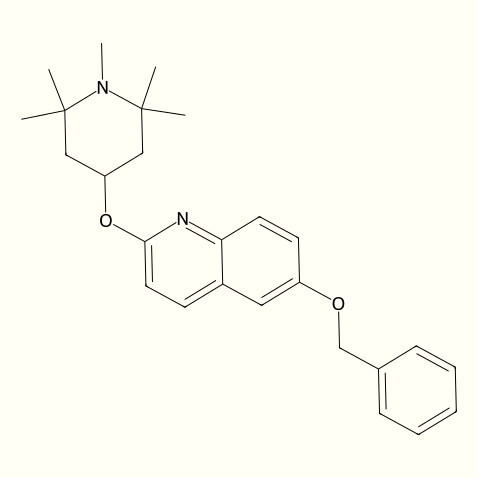 CN1C(C)(C)CC(Oc2ccc3cc(OCc4ccccc4)ccc3n2)CC1(C)C